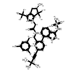 C[C@@H]1Cc2c(C(F)(F)F)nn(CC(=O)N[C@@H](Cc3cc(F)cc(F)c3)c3nc(C#CC(C)(C)O)ccc3-c3cccc4c(NS(C)(=O)=O)noc34)c2C1(F)F